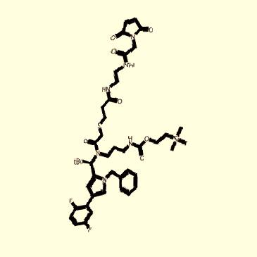 CC(C)(C)[C@H](c1cc(-c2cc(F)ccc2F)cn1Cc1ccccc1)N(CCCNC(=O)OCC[Si](C)(C)C)C(=O)CSCCC(=O)NCCNC(=O)CN1C(=O)C=CC1=O